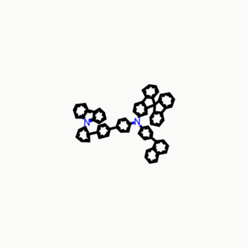 c1ccc(-n2c3ccccc3c3ccccc32)c(-c2ccc(-c3ccc(N(c4ccc(-c5cccc6ccccc56)cc4)c4ccc5c(c4)C4(c6ccccc6-c6ccccc64)c4ccccc4-5)cc3)cc2)c1